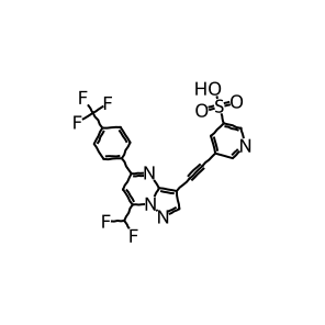 O=S(=O)(O)c1cncc(C#Cc2cnn3c(C(F)F)cc(-c4ccc(C(F)(F)F)cc4)nc23)c1